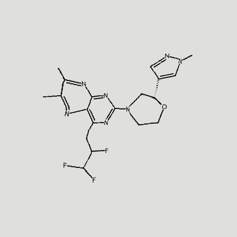 Cc1nc2nc(N3CCO[C@@H](c4cnn(C)c4)C3)nc(CC(F)C(F)F)c2nc1C